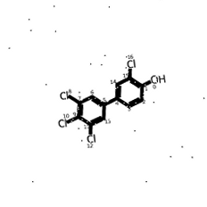 Oc1ccc(-c2cc(Cl)c(Cl)c(Cl)c2)cc1Cl